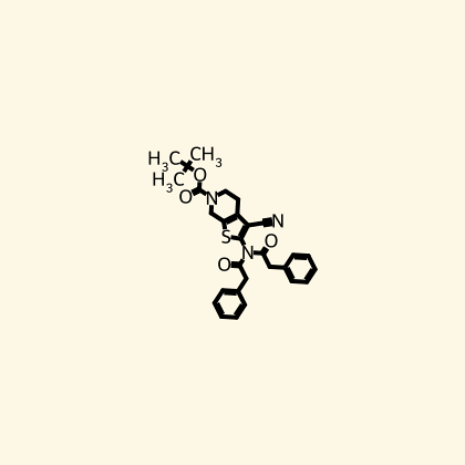 CC(C)(C)OC(=O)N1CCc2c(sc(N(C(=O)Cc3ccccc3)C(=O)Cc3ccccc3)c2C#N)C1